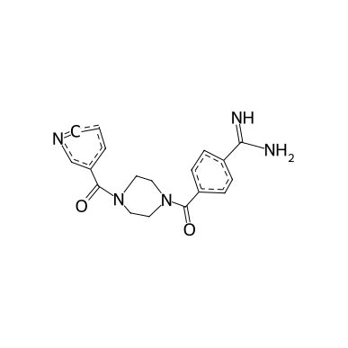 N=C(N)c1ccc(C(=O)N2CCN(C(=O)c3cccnc3)CC2)cc1